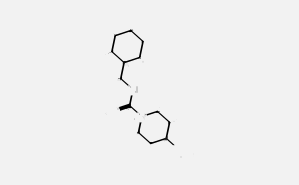 CC1CCN(C(=O)NCC2CCCCC2)CC1